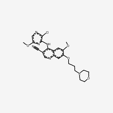 COc1cnc(Cl)c(Nc2c(C#N)cnc3cc(OCCCN4CCOCC4)c(OC)cc23)n1